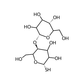 OCC1O[C@H](O[C@@H]2C(CO)O[C@@H](S)C(O)C2O)C(O)C(O)[C@@H]1O